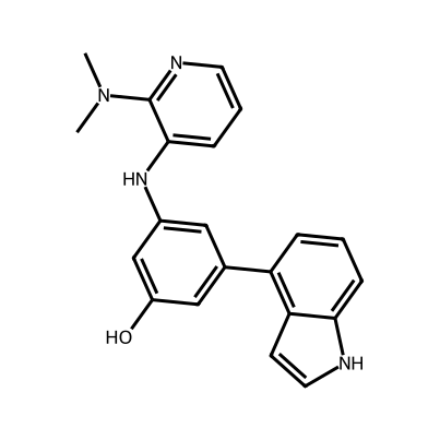 CN(C)c1ncccc1Nc1cc(O)cc(-c2cccc3[nH]ccc23)c1